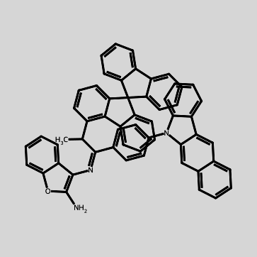 CC(/C(=N\c1c(N)oc2ccccc12)c1ccc(-n2c3ccccc3c3cc4ccccc4cc32)cc1)c1cccc2c1-c1ccccc1C21c2ccccc2-c2ccccc21